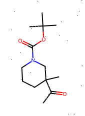 CC(=O)C1(C)CCCN(C(=O)OC(C)(C)C)C1